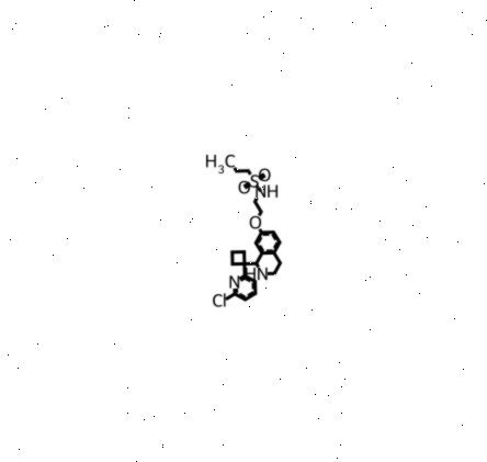 CCCS(=O)(=O)NCCOc1ccc2c(c1)C(C1(c3cccc(Cl)n3)CCC1)NCC2